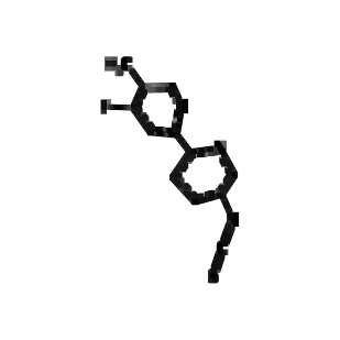 Cc1cnc(-c2ccc(N=C=S)cn2)cc1F